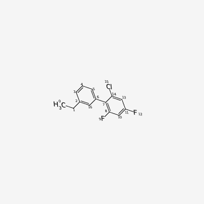 CCc1cccc(-c2c(F)cc(F)cc2Cl)c1